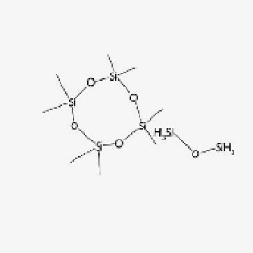 C[Si]1(C)O[Si](C)(C)O[Si](C)(C)O[Si](C)(C)O1.[SiH3]O[SiH3]